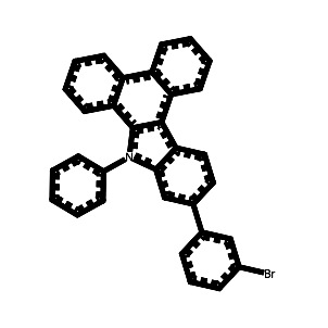 Brc1cccc(-c2ccc3c4c5ccccc5c5ccccc5c4n(-c4ccccc4)c3c2)c1